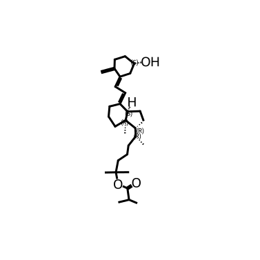 C=C1CC[C@H](O)CC1=CC=C1CCC[C@@]2(C)[C@@H]1CC[C@@H]2[C@H](C)CCCC(C)(C)OC(=O)C(C)C